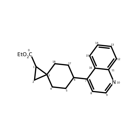 CCOC(=O)C1CC12CCC(c1ccnc3ccccc13)CC2